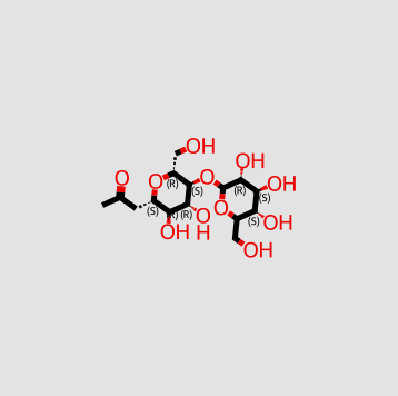 CC(=O)C[C@@H]1O[C@H](CO)[C@@H](OC2OC(CO)[C@@H](O)[C@H](O)[C@H]2O)[C@H](O)[C@H]1O